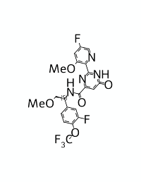 COC[C@@H](NC(=O)c1cc(=O)[nH]c(-c2ncc(F)cc2OC)n1)c1ccc(OC(F)(F)F)c(F)c1